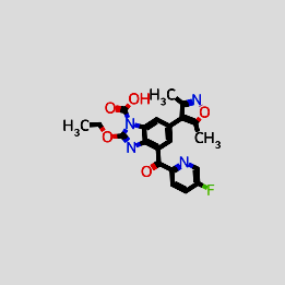 CCOc1nc2c(C(=O)c3ccc(F)cn3)cc(-c3c(C)noc3C)cc2n1C(=O)O